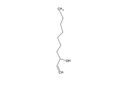 [CH]=CC(O)CCCCCCC